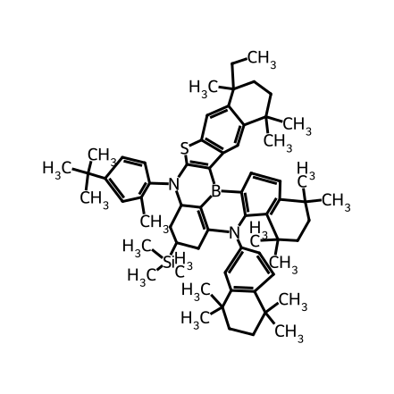 CCC1(C)CCC(C)(C)c2cc3c4c(sc3cc21)N(c1ccc(C(C)(C)C)cc1C)C1CC([Si](C)(C)C)CC2=C1B4c1ccc3c(c1N2c1ccc2c(c1)C(C)(C)CCC2(C)C)C(C)(C)CCC3(C)C